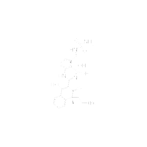 CC(C)(C)CC[C@@]1(C)C(=O)C(C2=NS(O)(O)c3c(CNS(N)(=O)=O)csc3N2)=C(O)c2ccccc21